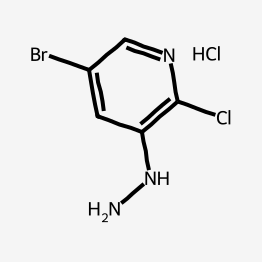 Cl.NNc1cc(Br)cnc1Cl